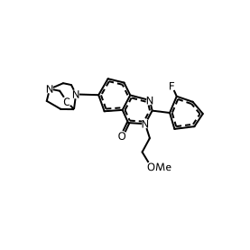 COCCn1c(-c2ccccc2F)nc2ccc(N3CCN4CCC3CC4)cc2c1=O